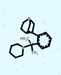 C[C@@](C(=O)O)(c1ccccc1C1CN2CCC1CC2)N1CCCCC1